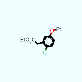 CCOC(=O)Cc1cc(OCC)ccc1Cl